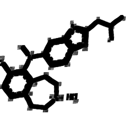 CC(C)Cc1nc2cc(N(C)c3c(Cl)ccc4c3CCNCC4)ccc2s1.Cl